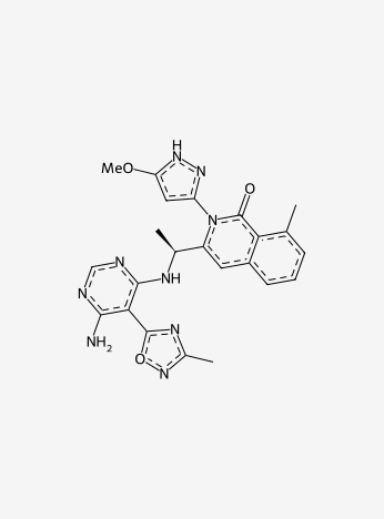 COc1cc(-n2c([C@H](C)Nc3ncnc(N)c3-c3nc(C)no3)cc3cccc(C)c3c2=O)n[nH]1